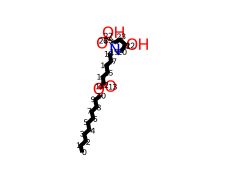 CCCCCCCCCCCOC(=O)CCCCCN1C[C@H](O)C[C@H]1C(=O)O